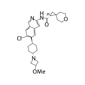 COC1CN([C@H]2CC[C@H](c3cc4cc(NC(=O)[C@@H]5CC56CCOCC6)ncc4cc3Cl)CC2)C1